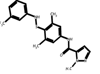 Cc1cc(NC(=O)c2ccnn2C)cc(C)c1SNc1cccc(C(F)(F)F)c1